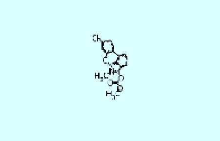 COC(=O)Oc1c2cccc(-c3ccc(Cl)cc3Cl)c2nn1C